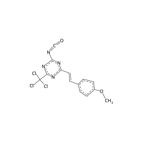 COc1ccc(/C=C/c2nc(N=C=O)nc(C(Cl)(Cl)Cl)n2)cc1